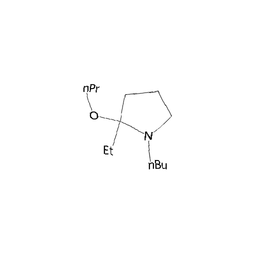 CCCCN1CCCC1(CC)OCCC